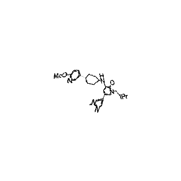 COc1ccc([C@H]2CC[C@@H](Nc3cc(-c4cnn(C)c4)cn(CC(C)C)c3=O)CC2)cn1